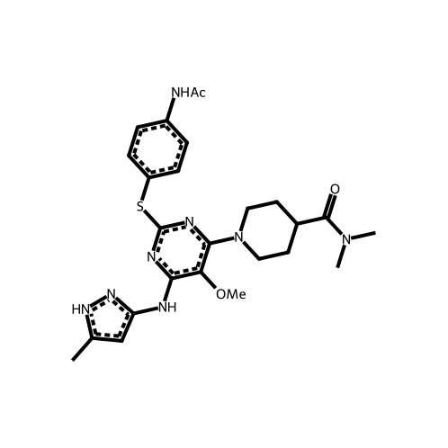 COc1c(Nc2cc(C)[nH]n2)nc(Sc2ccc(NC(C)=O)cc2)nc1N1CCC(C(=O)N(C)C)CC1